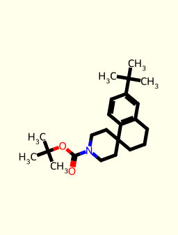 CC(C)(C)OC(=O)N1CCC2(CCCc3cc(C(C)(C)C)ccc32)CC1